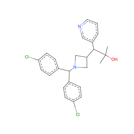 CC(C)(O)C(c1cccnc1)C1CN(C(c2ccc(Cl)cc2)c2ccc(Cl)cc2)C1